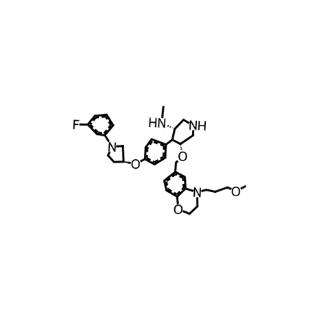 CN[C@@H]1CNC[C@H](OCc2ccc3c(c2)N(CCCOC)CCO3)C1c1ccc(O[C@H]2CCN(c3cccc(F)c3)C2)cc1